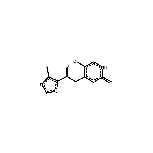 Cc1ncsc1C(=O)Cc1nc(=O)[nH]cc1Cl